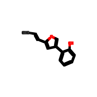 O=CC=Cc1cc(-c2ccccc2O)co1